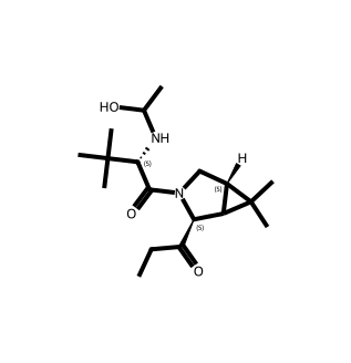 CCC(=O)[C@@H]1C2[C@H](CN1C(=O)[C@@H](NC(C)O)C(C)(C)C)C2(C)C